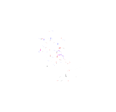 CCCC1O[C@@H]2C[C@H]3[C@@H]4CCC5=CC(=O)C=C[C@]5(C)[C@H]4[C@@H](O)C[C@]3(C)[C@]2(C(=O)COC(=O)CCCSSC[C@H](NC(C)=O)C(=O)NCC(=O)N[C@@H](CC(N)=O)C(=O)N[C@@H](CC(N)=O)C(=O)N[C@@H](CCC(N)=O)C(=O)N[C@@H](CCC(N)=O)C(=O)NCC(=O)NCC(=O)N[C@@H](CC(=O)O)C(=O)N2CCC[C@H]2C(=O)N[C@H](C(=O)N[C@@H](CCCCN)C(=O)NCC(N)=O)C(C)C)O1